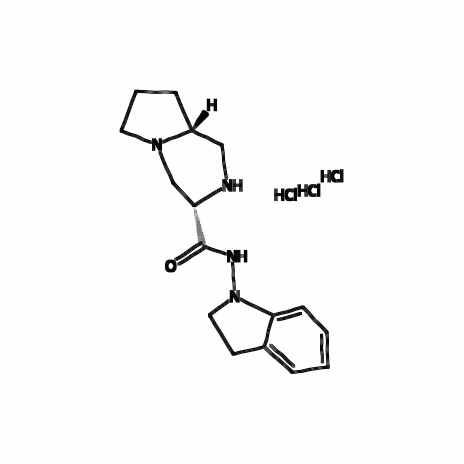 Cl.Cl.Cl.O=C(NN1CCc2ccccc21)[C@@H]1CN2CCC[C@@H]2CN1